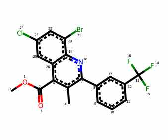 COC(=O)c1c(C)c(-c2cccc(C(F)(F)F)c2)nc2c(Br)cc(Cl)cc12